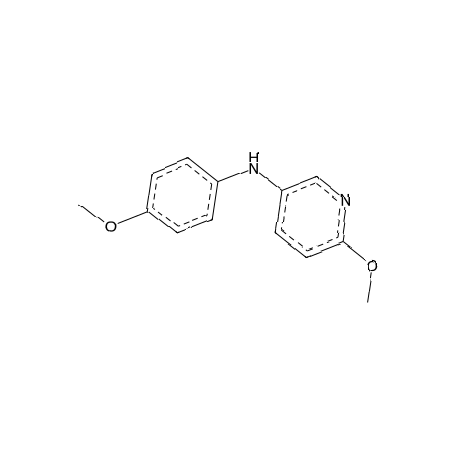 COc1ccc(Nc2ccc(OC)nc2)cc1